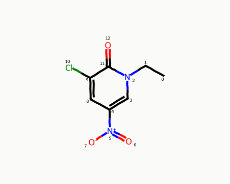 CCn1cc([N+](=O)[O-])cc(Cl)c1=O